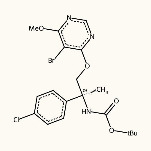 COc1ncnc(OC[C@@](C)(NC(=O)OC(C)(C)C)c2ccc(Cl)cc2)c1Br